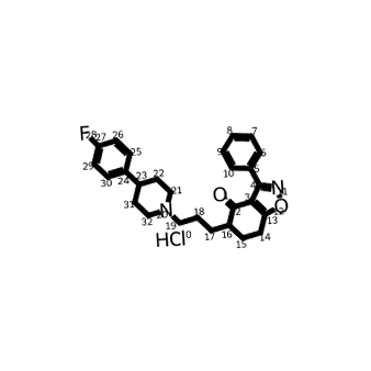 Cl.O=C1c2c(-c3ccccc3)noc2CCC1CCCN1CCC(c2ccc(F)cc2)CC1